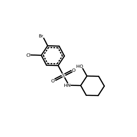 O=S(=O)(NC1CCCCC1O)c1ccc(Br)c(Cl)c1